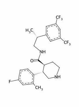 Cc1cc(F)ccc1[C@H]1CNCC[C@@H]1C(=O)NC[C@H](C)c1cc(C(F)(F)F)cc(C(F)(F)F)c1